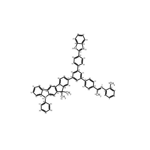 C/C(=N\c1ccccc1C)c1ccc(-c2cc(-c3ccc(-c4nc5ccccc5o4)cc3)cc(-c3ccc4c(c3)C(C)(C)c3cc5c(cc3-4)c3ccccc3n5-c3ccccc3)c2)cc1